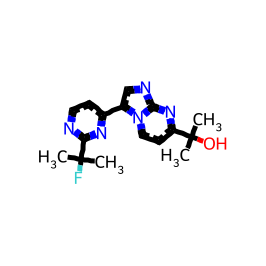 CC(C)(O)c1ccn2c(-c3ccnc(C(C)(C)F)n3)cnc2n1